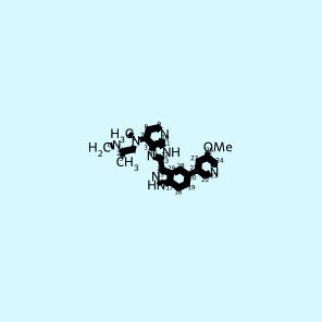 C=N/C(C)=C\N(C)c1ccnc2[nH]c(-c3n[nH]c4ccc(-c5cncc(OC)c5)cc34)nc12